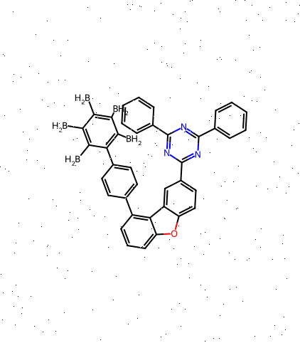 Bc1c(B)c(B)c(-c2ccc(-c3cccc4oc5ccc(-c6nc(-c7ccccc7)nc(-c7ccccc7)n6)cc5c34)cc2)c(B)c1B